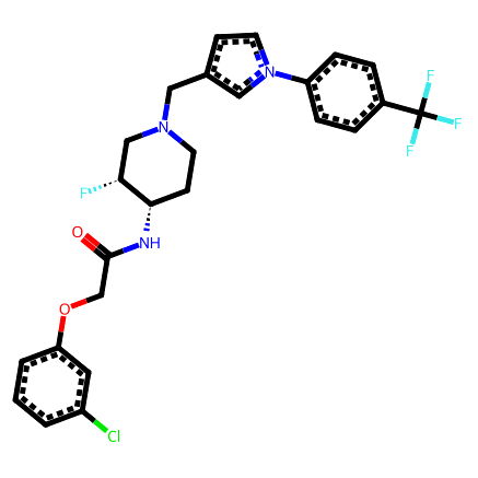 O=C(COc1cccc(Cl)c1)N[C@H]1CCN(Cc2ccn(-c3ccc(C(F)(F)F)cc3)c2)C[C@H]1F